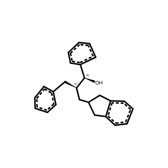 O[C@H](c1ccccc1)[C@H](Cc1ccccc1)CC1Cc2ccccc2C1